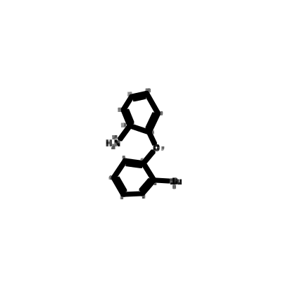 CC(C)(C)c1ccccc1Oc1ccccc1N